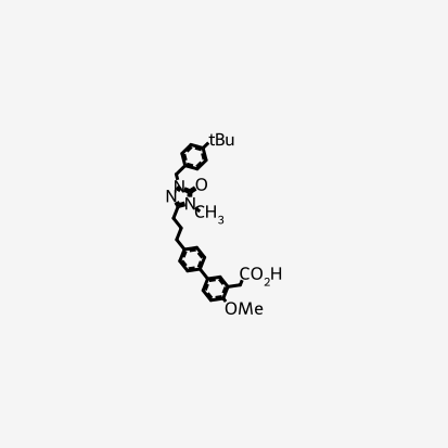 COc1ccc(-c2ccc(CCCc3nn(Cc4ccc(C(C)(C)C)cc4)c(=O)n3C)cc2)cc1CC(=O)O